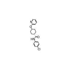 O=C(Nc1ccc(Cl)cc1)[C@H]1CC[C@H](Oc2ccccn2)CC1